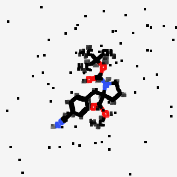 COC(=O)C1(Cc2ccc(C#N)cc2)CCCN1C(=O)OC(C)(C)C